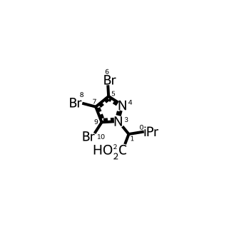 CC(C)C(C(=O)O)n1nc(Br)c(Br)c1Br